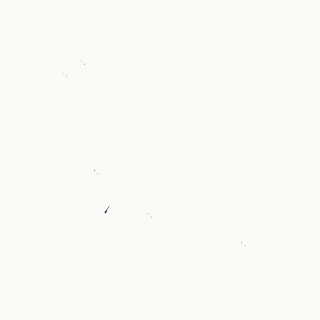 CC[C@@H](NC(=O)c1ccc2[nH]ncc2c1)C(=O)NC1COC2C(NC(C)=O)COC12